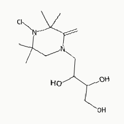 C=C1N(CC(O)C(O)CO)CC(C)(C)N(Cl)C1(C)C